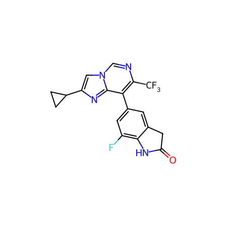 O=C1Cc2cc(-c3c(C(F)(F)F)ncn4cc(C5CC5)nc34)cc(F)c2N1